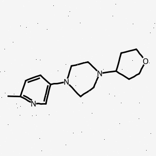 Cc1ccc(N2CCN(C3CCOCC3)CC2)cn1